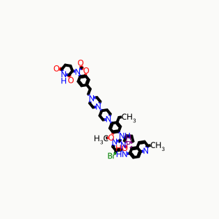 CCc1cc(Nc2ncc(Br)c(Nc3ccc4nc(C)ccc4c3[PH]3(O)CC=CC3)n2)c(OC)cc1N1CCC(N2CCN(CCc3ccc4c(c3)oc(=O)n4C3CCC(=O)NC3=O)CC2)CC1